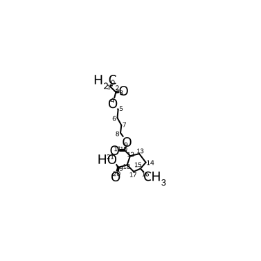 C=CC(=O)OCCCCOC(=O)C1CCC(C)CC1C(=O)O